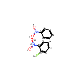 O=[N+]([O-])c1ccccc1.O=[N+]([O-])c1ccccc1F